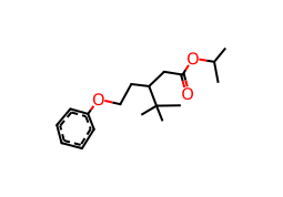 CC(C)OC(=O)CC(CCOc1ccccc1)C(C)(C)C